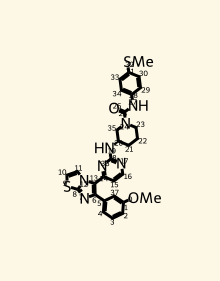 COc1cccc(-c2nc3sccn3c2-c2ccnc(N[C@@H]3CCCN(C(=O)Nc4ccc(SC)cc4)C3)n2)c1